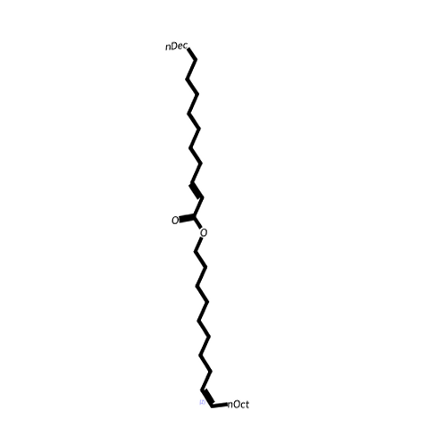 CCCCCCCC/C=C\CCCCCCCCOC(=O)C=CCCCCCCCCCCCCCCCCC